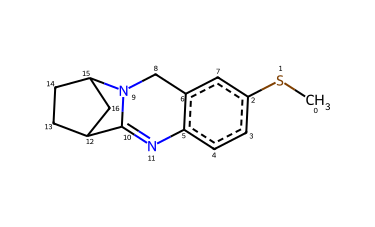 CSc1ccc2c(c1)CN1C(=N2)C2CCC1C2